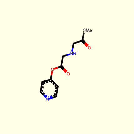 COC(=O)CNCC(=O)Oc1ccncc1